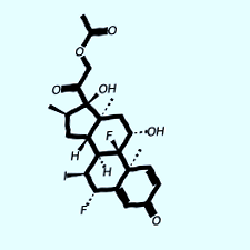 CC(=O)OCC(=O)[C@@]1(O)[C@H](C)C[C@H]2[C@@H]3[C@H](I)[C@@H](F)C4=CC(=O)C=C[C@]4(C)[C@@]3(F)[C@@H](O)C[C@@]21C